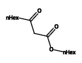 CCCCCCOC(=O)CC(=O)CCCCCC